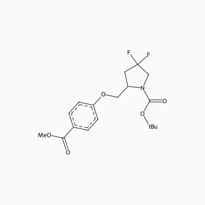 COC(=O)c1ccc(OCC2CC(F)(F)CN2C(=O)OC(C)(C)C)cc1